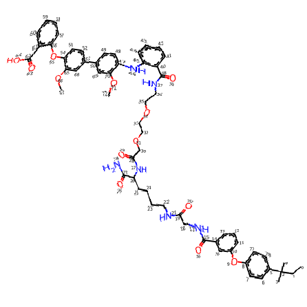 CCC(C)(C)c1ccc(Oc2cccc(C(=O)NCC(=O)NCCCCC(NC(=O)COCCOCCNC(=O)c3ccccc3Nc3ccc(-c4ccc(Oc5ccccc5C(=O)O)c(OC)c4)cc3OC)C(N)=O)c2)cc1